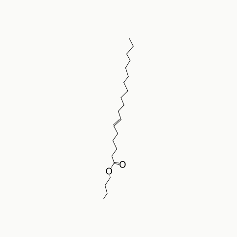 CCCCCCCCCCC/C=C/CCCCC(=O)OCCCC